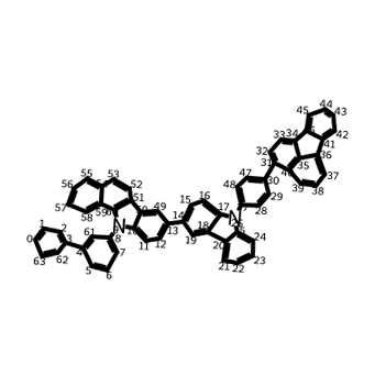 c1ccc(-c2cccc(-n3c4ccc(-c5ccc6c(c5)c5ccccc5n6-c5ccc(-c6ccc7c8c(cccc68)-c6ccccc6-7)cc5)cc4c4ccc5ccccc5c43)c2)cc1